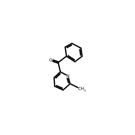 Cc1cccc(C(=O)c2ccccc2)n1